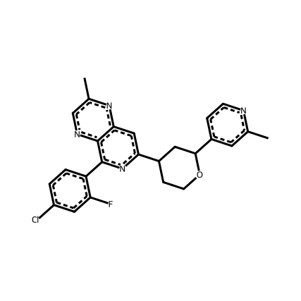 Cc1cc(C2CC(c3cc4nc(C)cnc4c(-c4ccc(Cl)cc4F)n3)CCO2)ccn1